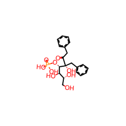 O=C(Cc1ccccc1)[C@@](O)(Cc1ccccc1)[C@@H](OP(=O)(O)O)[C@H](O)[C@H](O)CO